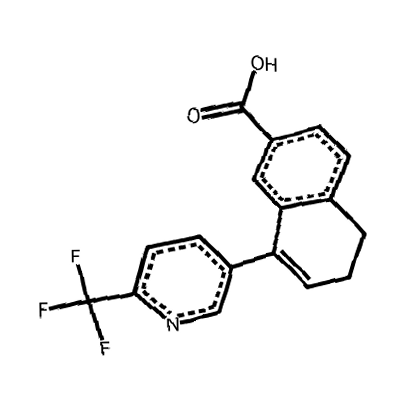 O=C(O)c1ccc2c(c1)C(c1ccc(C(F)(F)F)nc1)=CCC2